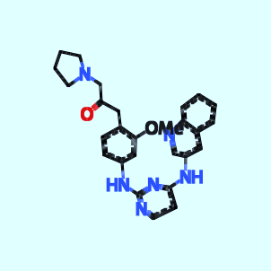 COc1cc(Nc2nccc(Nc3cnc4ccccc4c3)n2)ccc1CC(=O)CN1CCCC1